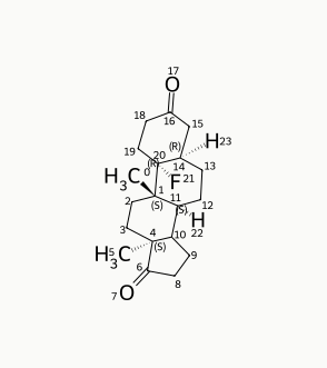 C[C@]12CC[C@]3(C)C(=O)CCC3[C@@H]1CC[C@@H]1CC(=O)CC[C@@]12F